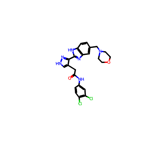 O=C(Cc1c[nH]nc1-c1nc2cc(CN3CCOCC3)ccc2[nH]1)Nc1ccc(Cl)c(Cl)c1